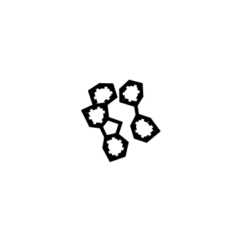 c1ccc(-c2ccccc2)cc1.c1ccc2c(c1)Cc1c-2ccc2ccccc12